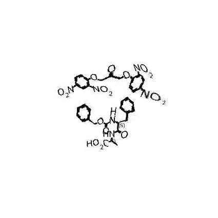 C[C@H](NC(=O)[C@H](Cc1ccccc1)NC(=O)OCc1ccccc1)C(=O)O.O=C(COc1ccc([N+](=O)[O-])cc1[N+](=O)[O-])COc1ccc([N+](=O)[O-])cc1[N+](=O)[O-]